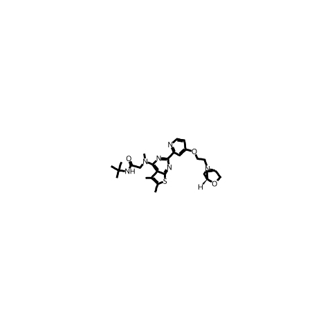 Cc1sc2nc(-c3cc(OCCN4C[C@@H]5CC4CO5)ccn3)nc(N(C)CC(=O)NC(C)(C)C)c2c1C